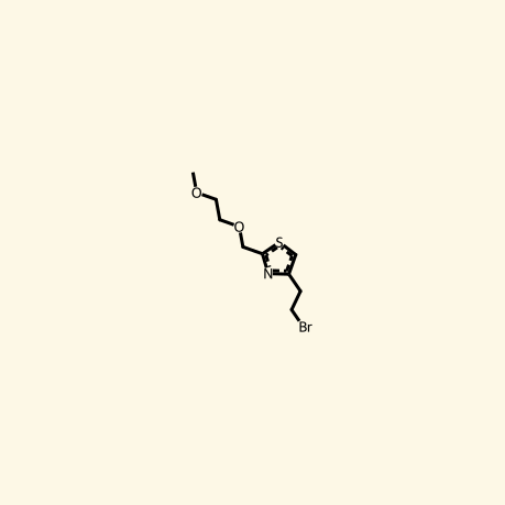 COCCOCc1nc(CCBr)cs1